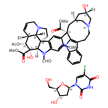 CC[C@]1(O)C[C@H]2C[N@](CCc3c([nH]c4ccccc34)[C@@](C(=O)OC)(c3cc4c(cc3OC)N(C=O)[C@H]3[C@@](O)(C(=O)OC)[C@H](OC(C)=O)[C@]5(CC)C=CCN6CC[C@]43[C@@H]65)C2)C1.O=c1[nH]c(=O)n([C@H]2C[C@H](O)[C@@H](CO)O2)cc1F